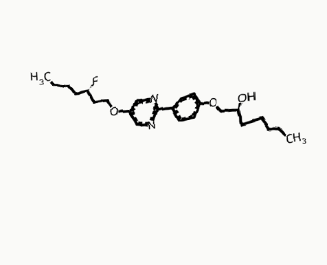 CCCCC[C@H](O)COc1ccc(-c2ncc(OCC[C@@H](F)CCCC)cn2)cc1